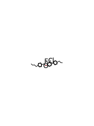 CCCCc1ccc(COc2ccc(-c3ccc(CCC)cc3)c(Cl)c2F)cc1